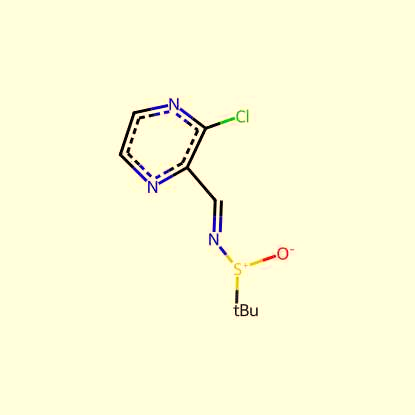 CC(C)(C)[S+]([O-])N=Cc1nccnc1Cl